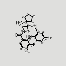 NC1(C2(O)CN(C(=O)c3ccc(F)c(F)c3Nc3ccc(I)cc3F)C2)CCCC1